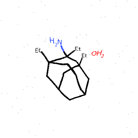 CCC12CC3CC(C1)CC(CC)(C3)C2(N)CC.O